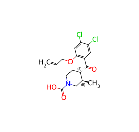 C=CCOc1cc(Cl)c(Cl)cc1C(=O)[C@H]1CCN(C(=O)O)C[C@@H]1C